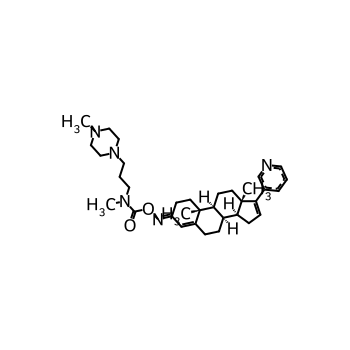 CN1CCN(CCCN(C)C(=O)ON=C2C=C3CC[C@H]4[C@H](CC[C@]5(C)C(c6cccnc6)=CC[C@@H]45)[C@@]3(C)CC2)CC1